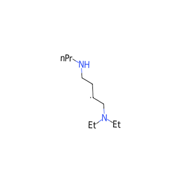 CCCNCC[CH]CN(CC)CC